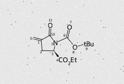 C=C1C[C@H](C(=O)OCC)N(C(=O)OC(C)(C)C)C1=O